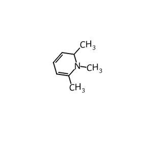 CC1=CC=CC(C)N1C